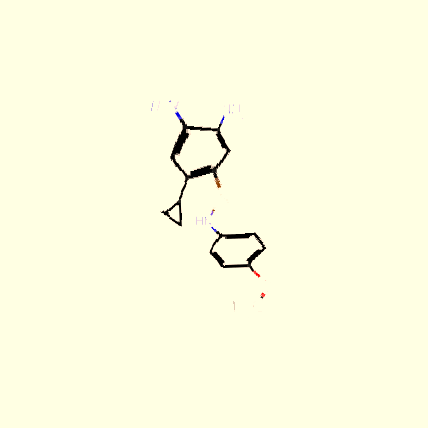 Nc1cc(SNc2ccc(OC(F)(F)F)cc2)c(C2CC2)cc1N